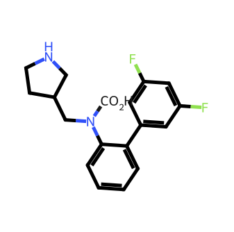 O=C(O)N(CC1CCNC1)c1ccccc1-c1cc(F)cc(F)c1